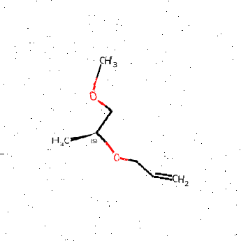 C=CCO[C@@H](C)COC